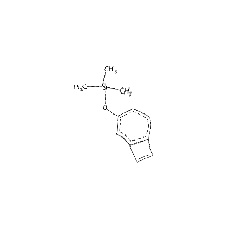 C[Si](C)(C)Oc1ccc2c(c1)C=C2